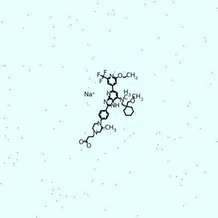 CCOc1cc(-c2cc(N(C)CC3(COC)CCCCC3)c3[nH]c(-c4ccc(N5CCN(CCC(=O)[O-])C[C@H]5C)cc4)nc3n2)cc(C(F)(F)F)n1.[Na+]